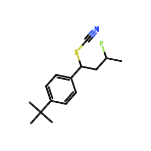 CC(F)CC(SC#N)c1ccc(C(C)(C)C)cc1